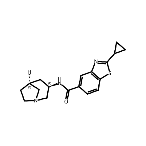 O=C(N[C@@H]1C[C@@H]2CCN(C2)C1)c1ccc2sc(C3CC3)nc2c1